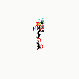 O=C(CCCOCC1CO1)NS(=O)(=O)C(F)(F)F